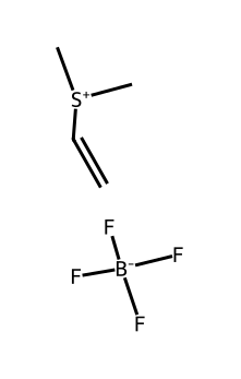 C=C[S+](C)C.F[B-](F)(F)F